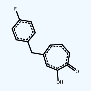 O=c1cccc(Cc2ccc(F)cc2)cc1O